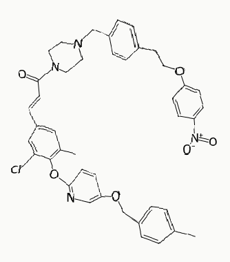 Cc1ccc(COc2ccc(Oc3c(C)cc(C=CC(=O)N4CCN(Cc5ccc(CCOc6ccc([N+](=O)[O-])cc6)cc5)CC4)cc3Cl)nc2)cc1